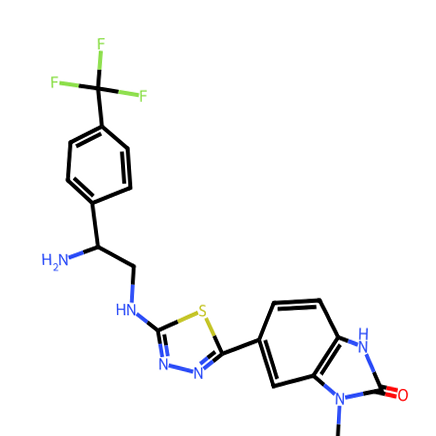 Cn1c(=O)[nH]c2ccc(-c3nnc(NCC(N)c4ccc(C(F)(F)F)cc4)s3)cc21